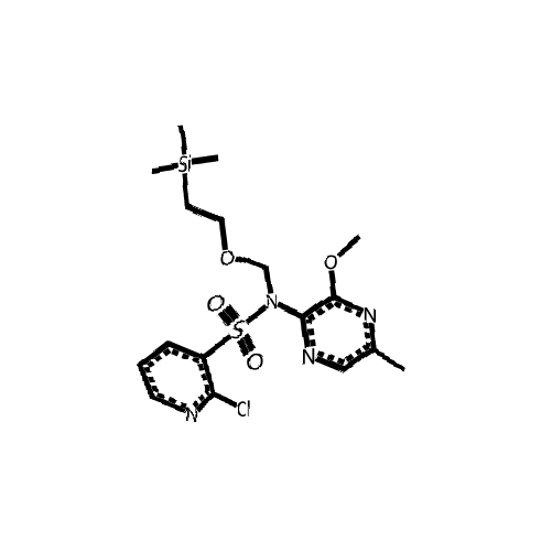 COc1nc(C)cnc1N(COCC[Si](C)(C)C)S(=O)(=O)c1cccnc1Cl